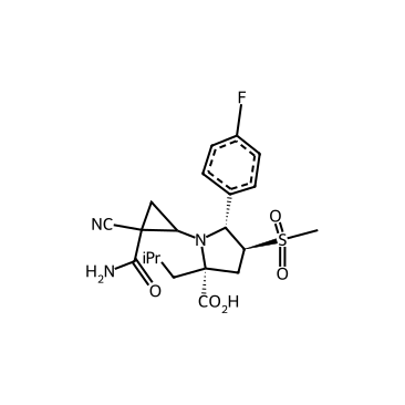 CC(C)C[C@]1(C(=O)O)C[C@H](S(C)(=O)=O)[C@@H](c2ccc(F)cc2)N1C1CC1(C#N)C(N)=O